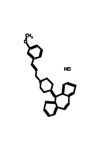 COc1cccc(C=CCN2CCC(=C3c4ccccc4C=Cc4ccccc43)CC2)c1.Cl